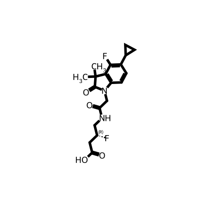 CC1(C)C(=O)N(CC(=O)NC[C@H](F)CC(=O)O)c2ccc(C3CC3)c(F)c21